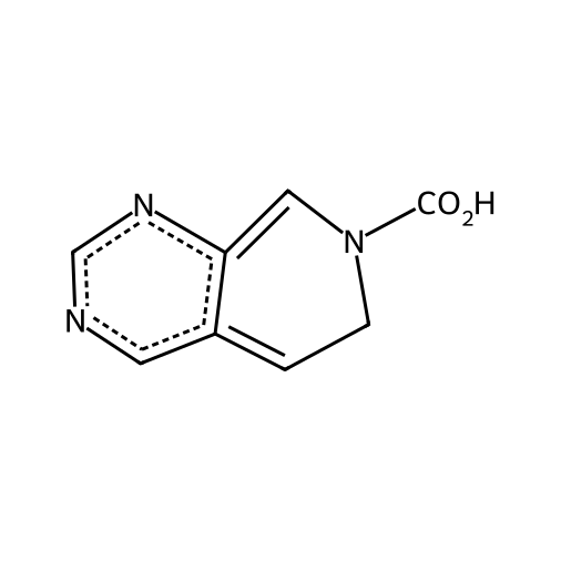 O=C(O)N1C=c2ncncc2=CC1